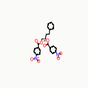 O=C(OC[C@@H](CCc1ccccc1)OC(=O)c1ccc([N+](=O)[O-])cc1)c1ccc([N+](=O)[O-])cc1